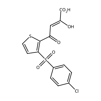 O=C(O)C(O)=CC(=O)c1sccc1S(=O)(=O)c1ccc(Cl)cc1